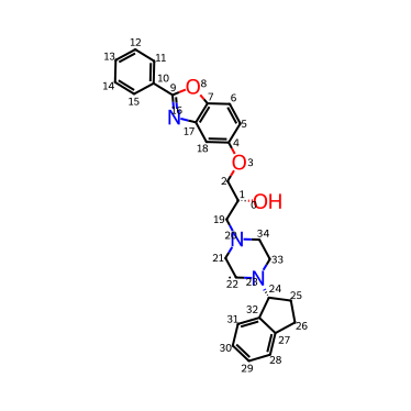 O[C@@H](COc1ccc2oc(-c3ccccc3)nc2c1)CN1C[CH]N([C@@H]2CCc3ccccc32)CC1